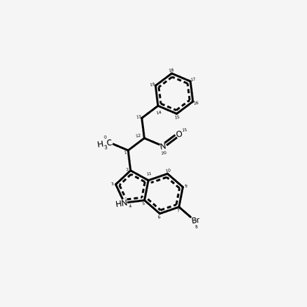 CC(c1c[nH]c2cc(Br)ccc12)C(Cc1ccccc1)N=O